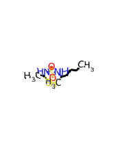 CCCCC(C)NS(=O)(=O)NC(C)S